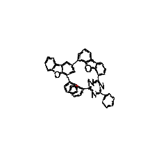 c1ccc(-c2nc(-c3ccccc3)nc(-c3cccc4c3oc3c(-c5cc(-c6ccccc6)c6oc7ccccc7c6c5)cccc34)n2)cc1